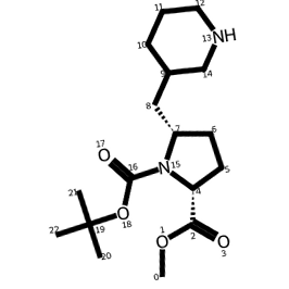 COC(=O)[C@H]1CC[C@@H](CC2CCCNC2)N1C(=O)OC(C)(C)C